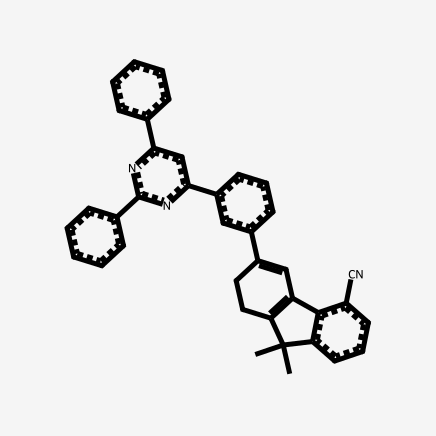 CC1(C)C2=C(C=C(c3cccc(-c4cc(-c5ccccc5)nc(-c5ccccc5)n4)c3)CC2)c2c(C#N)cccc21